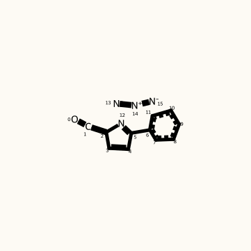 O=C=C1C=CC(c2ccccc2)=N1.[N-]=[N+]=[N-]